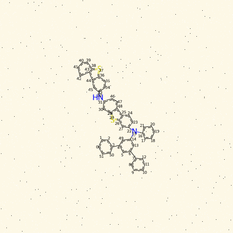 c1ccc(-c2cc(-c3ccccc3)cc(N(c3ccccc3)c3ccc4c(c3)sc3cc(Nc5ccc6sc7ccccc7c6c5)ccc34)c2)cc1